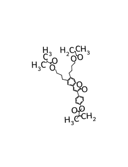 C=C(C)C(=O)OCCCCc1cc2oc(=O)c(-c3ccc(OC(=O)C(=C)C)cc3)cc2cc1CCCCOC(=O)C(C)C